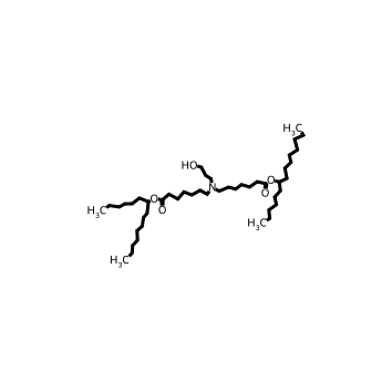 CCCCCCCCC(CCCCCC)OC(=O)CCCCCCN(CCCO)CCCCCCC(=O)OC(CCCCCC)CCCCCCCC